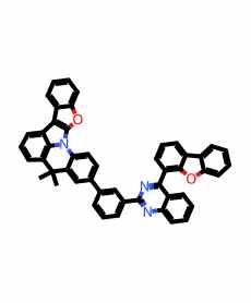 CC1(C)c2cc(-c3cccc(-c4nc(-c5cccc6c5oc5ccccc56)c5ccccc5n4)c3)ccc2-n2c3oc4ccccc4c3c3cccc1c32